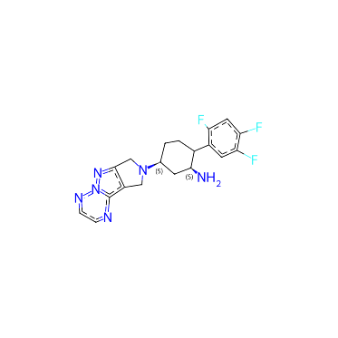 N[C@H]1C[C@@H](N2Cc3nn4nccnc4c3C2)CCC1c1cc(F)c(F)cc1F